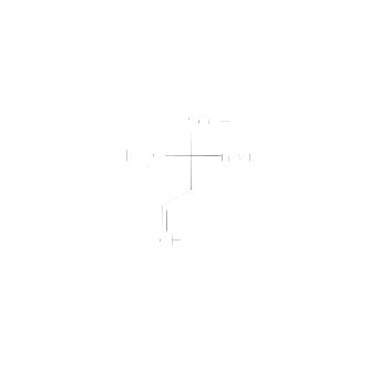 C=CCC(CCCC)(C(=O)O)S(=O)(=O)O